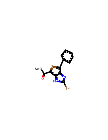 COC(=O)c1sc(-c2ccccc2)c2nc(S)[nH]c12